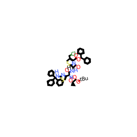 CC(C)(C)OC(=O)C1(ON=C(C(=O)N[C@@H]2C(=O)N3C(C(=O)OC(c4ccccc4)c4ccccc4)=C(CCl)CS[C@@H]23)c2csc(NC(c3ccccc3)(c3ccccc3)c3ccccc3)n2)CC1